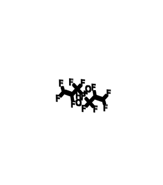 O=P(O)(C(F)(F)C(F)=C(F)F)C(F)(F)C(F)=C(F)F